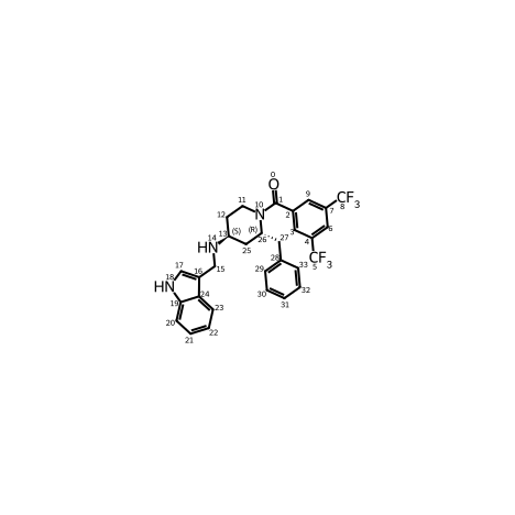 O=C(c1cc(C(F)(F)F)cc(C(F)(F)F)c1)N1CC[C@H](NCc2c[nH]c3ccccc23)C[C@H]1Cc1ccccc1